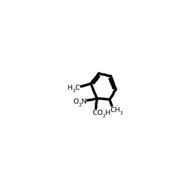 CC1=CC=CC(C)C1(C(=O)O)[N+](=O)[O-]